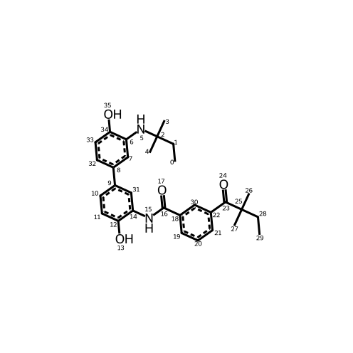 CCC(C)(C)Nc1cc(-c2ccc(O)c(NC(=O)c3cccc(C(=O)C(C)(C)CC)c3)c2)ccc1O